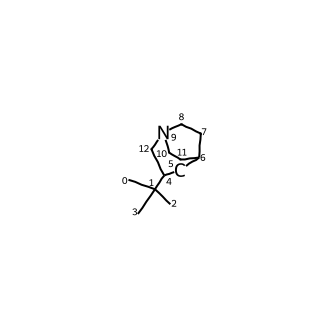 CC(C)(C)C1CC2CCN(CC2)C1